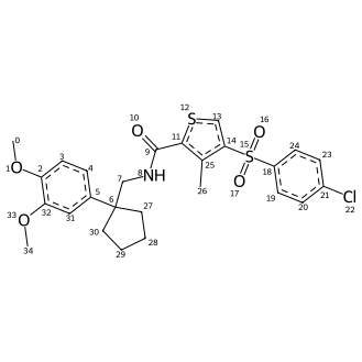 COc1ccc(C2(CNC(=O)c3scc(S(=O)(=O)c4ccc(Cl)cc4)c3C)CCCC2)cc1OC